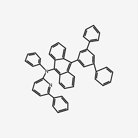 c1ccc(-c2cc(-c3ccccc3)cc(-c3c4ccccc4c(N(c4ccccc4)c4cccc(-c5ccccc5)n4)c4ccccc34)c2)cc1